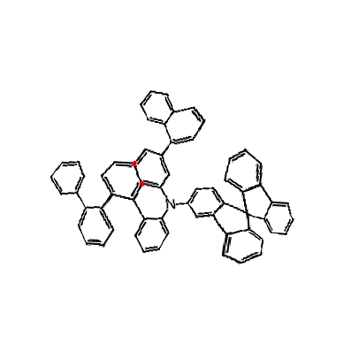 c1ccc(-c2ccccc2-c2ccccc2-c2ccccc2N(c2cccc(-c3cccc4ccccc34)c2)c2ccc3c(c2)-c2ccccc2C32c3ccccc3-c3ccccc32)cc1